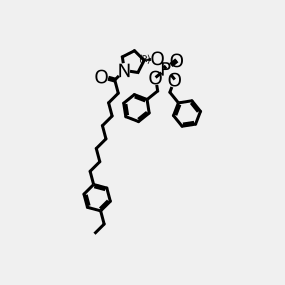 CCc1ccc(CCCCCCCCC(=O)N2CC[C@@H](OP(=O)(OCc3ccccc3)OCc3ccccc3)C2)cc1